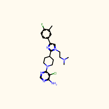 Cc1cc(-c2cn(CCN(C)C)c(C3CCN(c4ncnc(N)c4Cl)CC3)n2)ccc1F